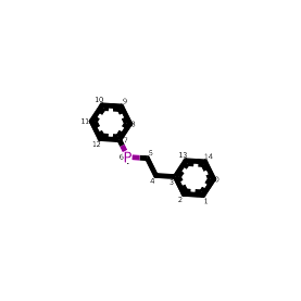 c1ccc(CC[P]c2ccccc2)cc1